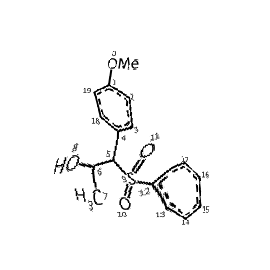 COc1ccc(C(C(C)O)S(=O)(=O)c2ccccc2)cc1